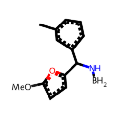 BNC(c1cccc(C)c1)c1ccc(OC)o1